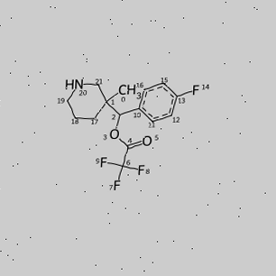 CC1(C(OC(=O)C(F)(F)F)c2ccc(F)cc2)CCCNC1